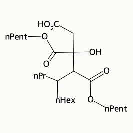 CCCCCCC(CCC)C(C(=O)OCCCCC)C(O)(CC(=O)O)C(=O)OCCCCC